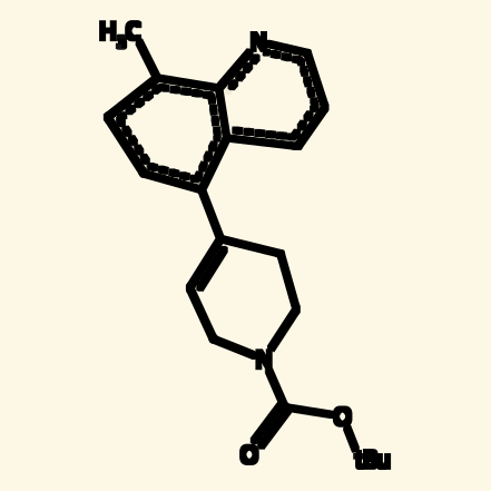 Cc1ccc(C2=CCN(C(=O)OC(C)(C)C)CC2)c2cccnc12